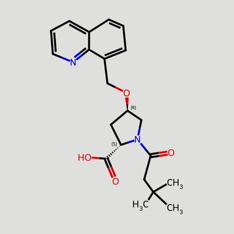 CC(C)(C)CC(=O)N1C[C@H](OCc2cccc3cccnc23)C[C@H]1C(=O)O